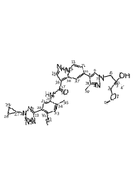 COC[C@](C)(O)Cn1cc(-c2ccn3ncc(C(=O)Nc4cc(-c5nnn(C6CC6)n5)c(F)cc4C)c3c2)c(C)n1